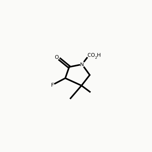 CC1(C)CN(C(=O)O)C(=O)C1F